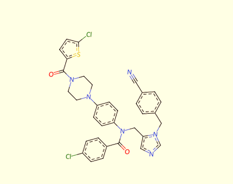 N#Cc1ccc(Cn2cncc2CN(C(=O)c2ccc(Cl)cc2)c2ccc(N3CCN(C(=O)c4ccc(Cl)s4)CC3)cc2)cc1